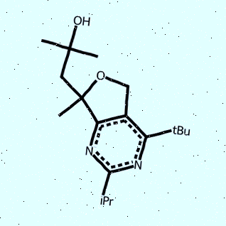 CC(C)c1nc(C(C)(C)C)c2c(n1)C(C)(CC(C)(C)O)OC2